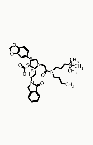 CCCCN(CCC[N+](C)(C)C)C(=O)CN1C[C@H](c2ccc3c(c2)OCO3)[C@@H](C(=O)O)[C@@H]1CCN1Cc2ccccc2C1=O